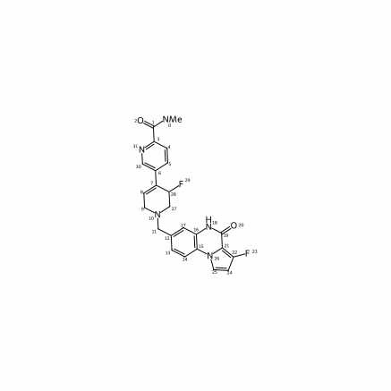 CNC(=O)c1ccc(C2=CCN(Cc3ccc4c(c3)[nH]c(=O)c3c(F)ccn34)CC2F)cn1